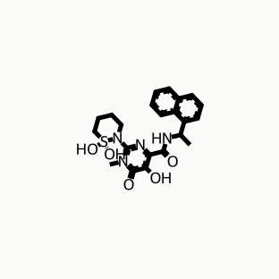 CC(NC(=O)c1nc(N2CCCCS2(O)O)n(C)c(=O)c1O)c1cccc2ccccc12